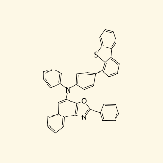 c1ccc(-c2nc3c(o2)c(N(c2ccccc2)c2ccc(-c4cccc5c4sc4ccccc45)cc2)cc2ccccc23)cc1